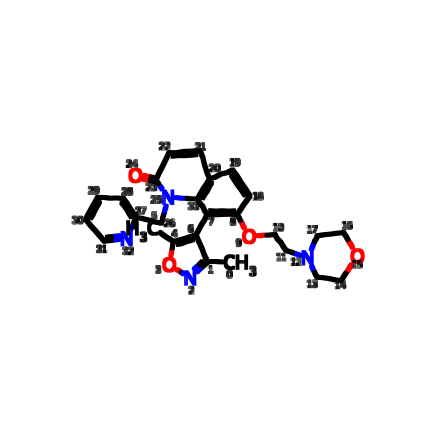 Cc1noc(C)c1-c1c(OCCN2CCOCC2)ccc2ccc(=O)n(Cc3ccccn3)c12